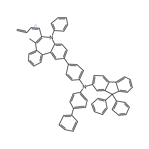 C=C/C=C\C1=C(C)c2ccccc2-c2cc(-c3ccc(N(c4ccc(-c5ccccc5)cc4)c4ccc5c(c4)C(c4ccccc4)(c4ccccc4)c4ccccc4-5)cc3)ccc2N1c1ccccc1